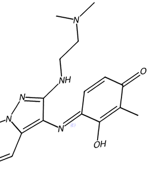 CC1=C(O)/C(=N/c2c(NCCN(C)C)nn3ccccc23)C=CC1=O